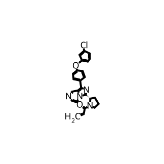 C=CC(=O)N1CCC[C@H]1c1nc(-c2ccc(Oc3cccc(Cl)c3)cc2)c2cnccn12